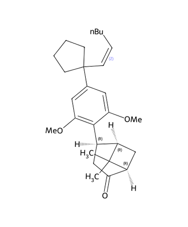 CCCC/C=C\C1(c2cc(OC)c([C@@H]3CC(=O)[C@@H]4C[C@H]3C4(C)C)c(OC)c2)CCCC1